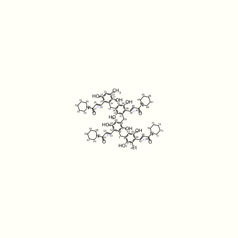 CCc1c(O)c(Cc2c(O)c(Cc3c(O)c(Cc4c(O)c(C)cc(O)c4/C=C/C(=O)N4CCCCC4)cc(O)c3/C=C/C(=O)N3CCCCC3)cc(O)c2/C=C/C(=O)N2CCCCC2)cc(O)c1/C=C/C(=O)N1CCCCC1